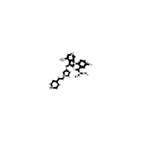 Cc1cncc2c1c(C[C@@H]1CCN(CCC3CCNCC3)C1)cn2-c1ccc(F)cc1C(=O)N(C)C(C)C